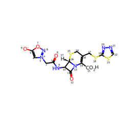 O=C(C[n+]1cc([O-])on1)NC1C(=O)N2C(C(=O)O)=C(CSc3nncs3)CS[C@@H]12